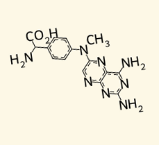 CN(c1ccc(C(N)C(=O)O)cc1)c1cnc2nc(N)nc(N)c2n1